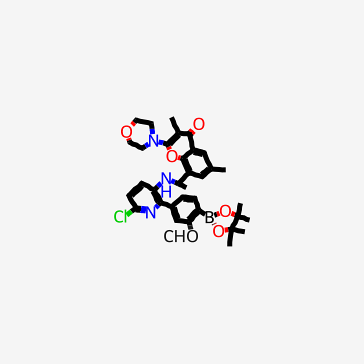 Cc1cc(C(C)Nc2ccc(Cl)nc2-c2ccc(B3OC(C)(C)C(C)(C)O3)c(C=O)c2)c2oc(N3CCOCC3)c(C)c(=O)c2c1